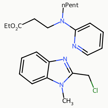 CCCCCN(CCC(=O)OCC)c1ccccn1.Cn1c(CCl)nc2ccccc21